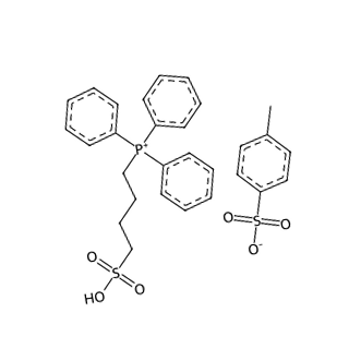 Cc1ccc(S(=O)(=O)[O-])cc1.O=S(=O)(O)CCCC[P+](c1ccccc1)(c1ccccc1)c1ccccc1